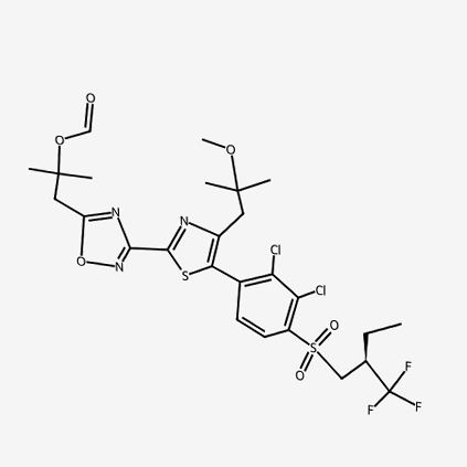 CC[C@H](CS(=O)(=O)c1ccc(-c2sc(-c3noc(CC(C)(C)OC=O)n3)nc2CC(C)(C)OC)c(Cl)c1Cl)C(F)(F)F